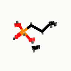 [CH2]CCP(=O)(O)O.[NaH]